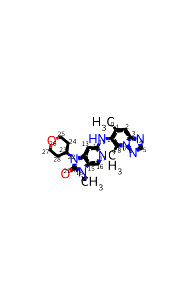 Cc1cc2ncnn2c(C)c1Nc1cc2c(cn1)n(C)c(=O)n2C1CCOCC1